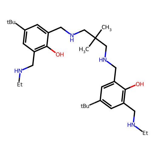 CCNCc1cc(C(C)(C)C)cc(CNCC(C)(C)CNCc2cc(C(C)(C)C)cc(CNCC)c2O)c1O